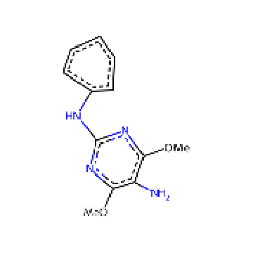 COc1nc(Nc2ccccc2)nc(OC)c1N